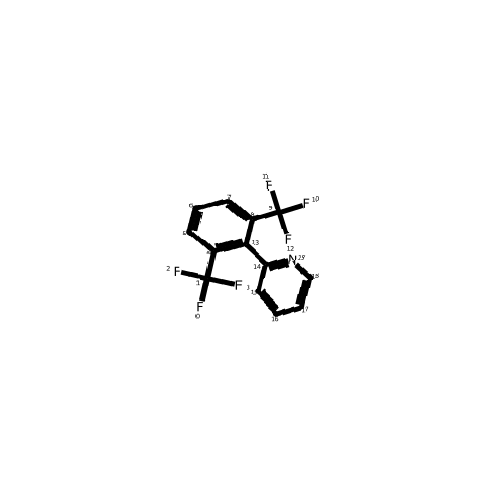 FC(F)(F)c1cccc(C(F)(F)F)c1-c1ccc[c]n1